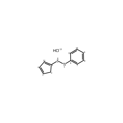 C1=CCC([S][Ti][c]2ccccc2)=C1.Cl